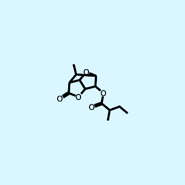 CCC(C)C(=O)OC1C2OC3C1OC(=O)C3C2C